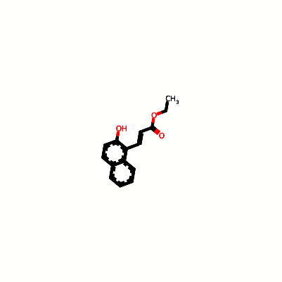 CCOC(=O)C=Cc1c(O)ccc2ccccc12